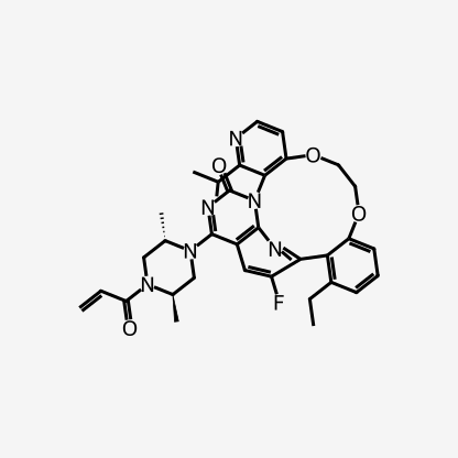 C=CC(=O)N1C[C@H](C)N(c2nc(=O)n3c4nc(c(F)cc24)-c2c(CC)cccc2OCCOc2ccnc(C(C)C)c2-3)C[C@H]1C